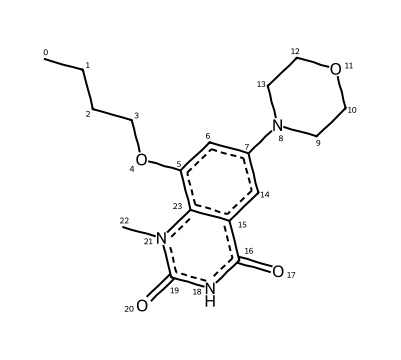 CCCCOc1cc(N2CCOCC2)cc2c(=O)[nH]c(=O)n(C)c12